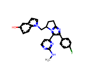 CNc1nccc(-c2c(-c3ccc(F)cc3)nc3n2C(Cn2ccc4cc(O)ccc42)CC3)n1